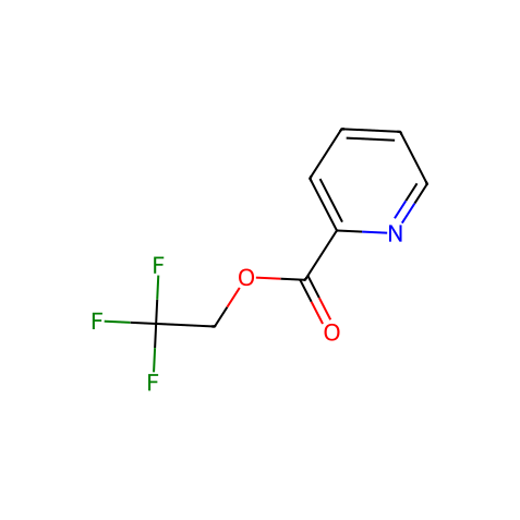 O=C(OCC(F)(F)F)c1ccccn1